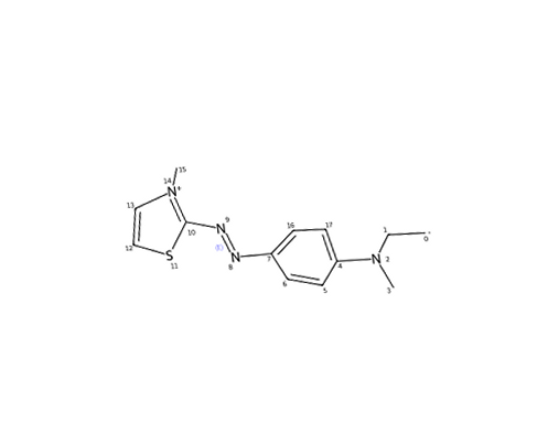 [CH2]CN(C)c1ccc(/N=N/c2scc[n+]2C)cc1